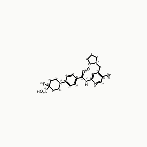 CC[C@@H]1CCCN1Cc1cc(NC(=O)c2ccc(N3CCC(F)(C(=O)O)CC3)cc2)ncc1Br